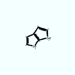 c1cc2cc[se]c2[se]1